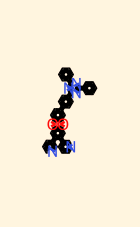 c1ccc(-c2nc(-c3ccccc3)nc(-c3ccc(-c4ccc5c(c4)Oc4cc(-c6cccnc6)c(-c6cccnc6)cc4O5)cc3)n2)cc1